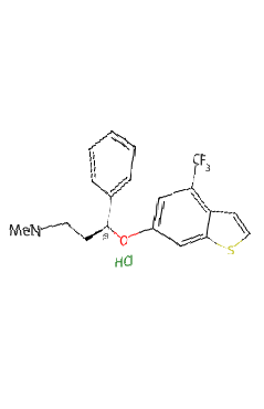 CNCC[C@H](Oc1cc(C(F)(F)F)c2ccsc2c1)c1ccccc1.Cl